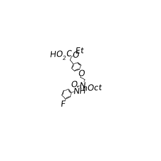 CCCCCCCCN(CCOc1ccc(CC(OCC)C(=O)O)cc1)C(=O)Nc1cccc(F)c1